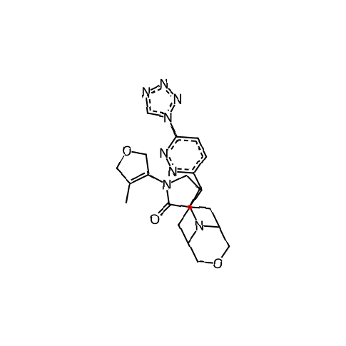 CC1=C(N2CCC3(CC4COCC(C3)N4CCc3ccc(-n4cnnn4)nn3)C2=O)COC1